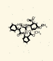 COC(=O)c1ccccc1NC(=O)C(c1ccccc1)N(S)C(=O)Nc1ccc(OC)cc1[N+](=O)[O-]